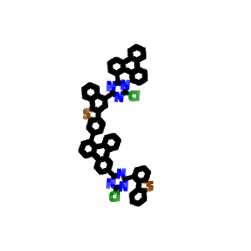 Clc1nc(-c2ccc3c(c2)c2ccccc2c2c(-c4ccc5c(c4)sc4c6ccccc6c(-c6nc(Cl)nc(-c7cccc8c9ccccc9c9ccccc9c78)n6)cc54)cccc32)nc(-c2cccc3sc4ccccc4c23)n1